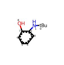 CC(C)(C)Nc1ccccc1O